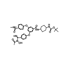 CNC(=O)c1ccc(Oc2cc(Oc3ccc(C(=N)N(O)C(C)=O)cc3)cc(C(=O)NC3CCC(NC(=O)OC(C)(C)C)CC3)c2)cc1